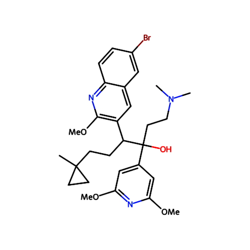 COc1cc(C(O)(CCN(C)C)C(CCC2(C)CC2)c2cc3cc(Br)ccc3nc2OC)cc(OC)n1